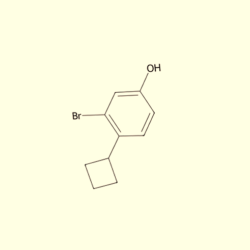 Oc1ccc(C2CCC2)c(Br)c1